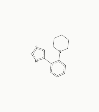 [c]1nc(-c2ccccc2N2CCCCC2)cs1